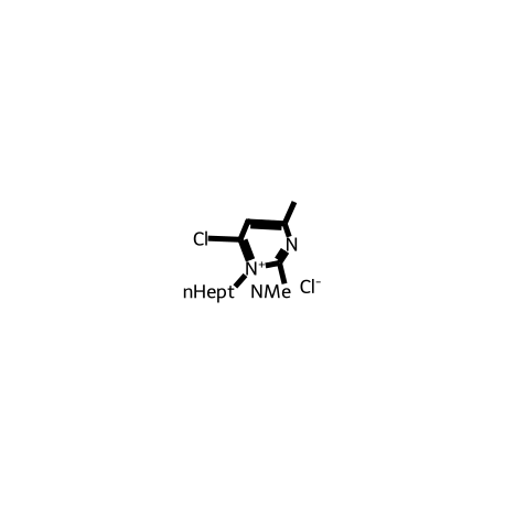 CCCCCCC[n+]1c(Cl)cc(C)nc1NC.[Cl-]